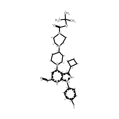 CC(C)(C)OC(=O)N1CCN(C2CCN(c3cc(C=O)nc4c3c(C3CCC3)nn4-c3ccc(F)cc3)CC2)CC1